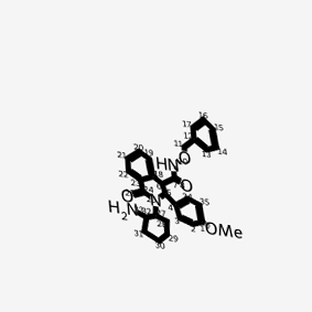 COc1ccc(C2C(C(=O)NOCc3ccccc3)c3ccccc3C(=O)N2C2CCCCC2N)cc1